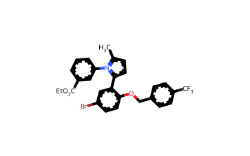 CCOC(=O)c1cccc(-n2c(C)ccc2-c2cc(Br)ccc2OCc2ccc(C(F)(F)F)cc2)c1